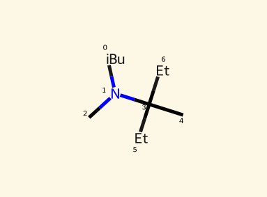 CCC(C)N(C)C(C)(CC)CC